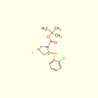 CC(C)(C)OC(=O)N1C[C@@H](F)C[C@@H]1Pc1ccccc1Cl